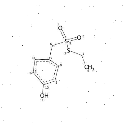 CCSS(=O)(=O)Cc1ccc(O)cc1